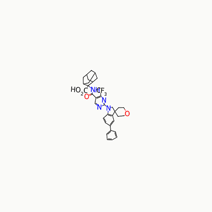 O=C(NC1(C(=O)O)C2CC3CC(C2)CC1C3)c1cnc(N2CC3(CCOCC3)c3cc(-c4ccccc4)ccc32)nc1C(F)(F)F